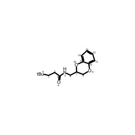 CC(C)(C)CCC(=O)NCC1COc2ccccc2O1